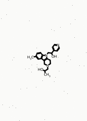 Cc1ccc2c(c1)c1c(n2CC(O)c2ccncc2)CCN(CC(C)O)C1